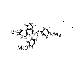 COc1ccc(CN(Cc2ccc(OC)cc2)c2nc3ccc(Br)cc3c3cncn23)cc1